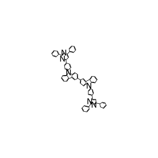 C1=CCC(c2cc(-c3ccc(-n4c5ccccc5c5cc(-c6ccc7c(c6)c6ccccc6n7-c6ccc(-c7cc(-c8ccccc8)nc(-c8ccccc8)n7)cc6)ccc54)cc3)nc(-c3ccccc3)n2)C=C1